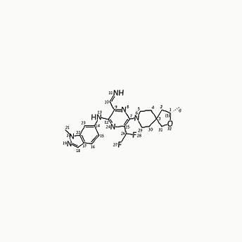 C[C@H]1CC2(CCN(c3nc(C=N)c(Nc4ccc5cnn(C)c5c4)nc3C(F)F)CC2)CO1